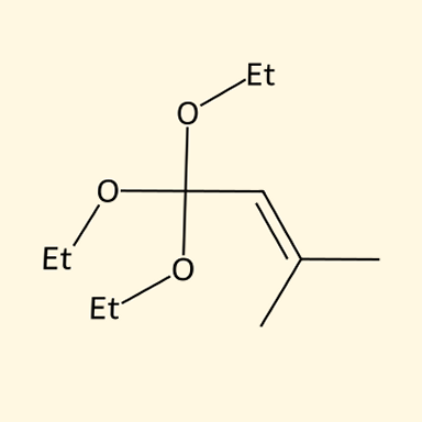 CCOC(C=C(C)C)(OCC)OCC